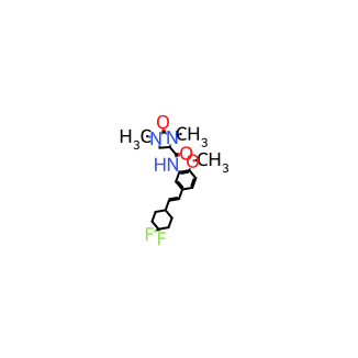 COc1ccc(C=CC2CCC(F)(F)CC2)cc1NC(=O)C1CN(C)C(=O)N1C